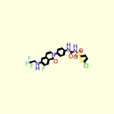 O=C(Nc1ccc(-n2ccc3cc(NCC(F)(F)F)c(F)cc3c2=O)cc1)NS(=O)(=O)c1ccc(Cl)s1